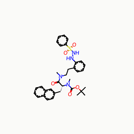 CN(CCc1ccccc1NNS(=O)(=O)c1ccccc1)C(=O)[C@@H](Cc1ccc2ccccc2c1)N(C)C(=O)OC(C)(C)C